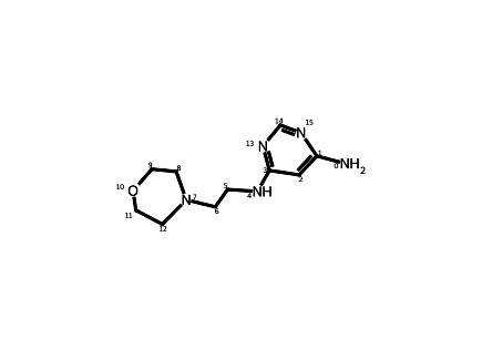 Nc1cc(NCCN2CCOCC2)ncn1